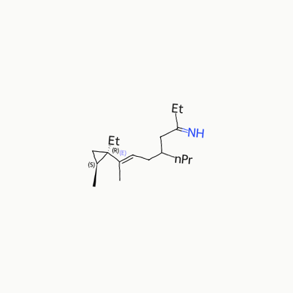 CCCC(C/C=C(\C)[C@]1(CC)C[C@@H]1C)CC(=N)CC